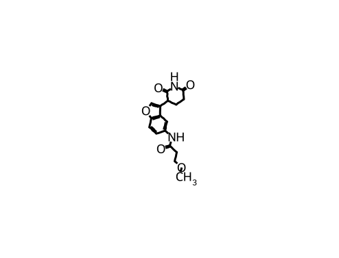 COCCC(=O)Nc1ccc2occ(C3CCC(=O)NC3=O)c2c1